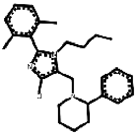 CCCCn1c(-c2c(C)cccc2C)nc(Cl)c1CN1CCCCC1c1ccccc1